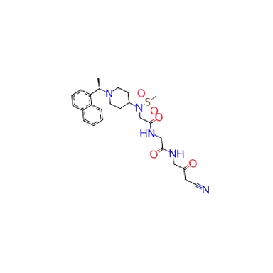 C[C@H](c1cccc2ccccc12)N1CCC(N(CC(=O)NCC(=O)NCC(=O)CC#N)S(C)(=O)=O)CC1